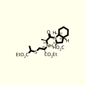 CCOC(=O)C(C)SC[C@H](N[C@@H](C)C(=O)N1[C@H](C(=O)O)C[C@H]2CCCC[C@@H]21)C(=O)OCC